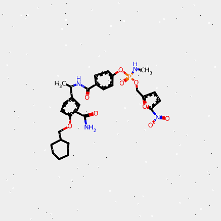 CNP(=O)(OCc1ccc([N+](=O)[O-])o1)Oc1ccc(C(=O)NC(C)c2ccc(OCC3CCCCC3)c(C(N)=O)c2)cc1